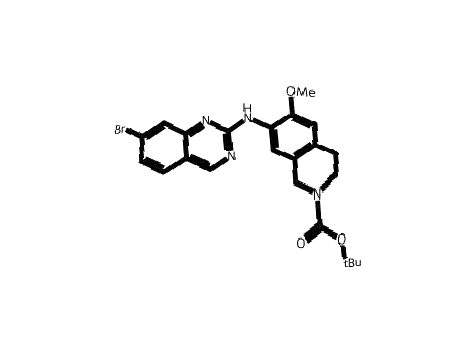 COc1cc2c(cc1Nc1ncc3ccc(Br)cc3n1)CN(C(=O)OC(C)(C)C)CC2